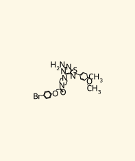 CCOC1(C)C=CC(c2nc3c(N4CCN(C(=O)COc5ccc(Br)cc5)CC4)nc(N)nc3s2)=CC1